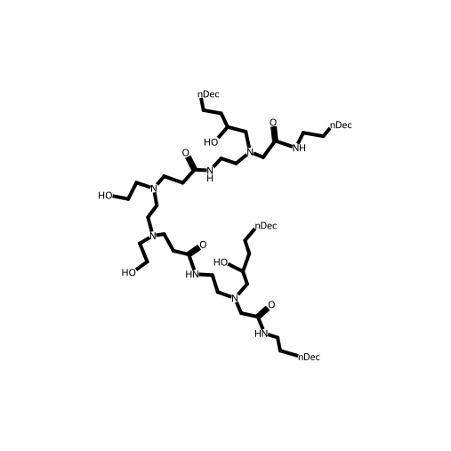 CCCCCCCCCCCCNC(=O)CN(CCNC(=O)CCN(CCO)CCN(CCO)CCC(=O)NCCN(CC(=O)NCCCCCCCCCCCC)CC(O)CCCCCCCCCCCC)CC(O)CCCCCCCCCCCC